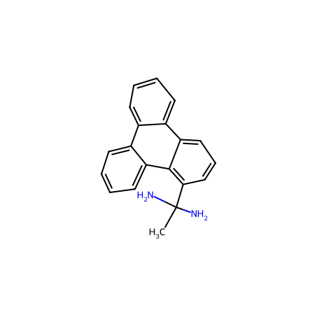 CC(N)(N)c1cccc2c3ccccc3c3ccccc3c12